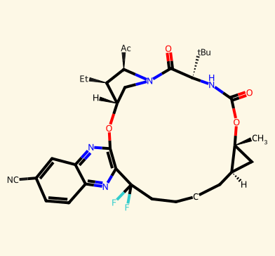 CC[C@@H]1[C@@H]2CN(C(=O)[C@H](C(C)(C)C)NC(=O)O[C@]3(C)C[C@H]3CCCCC(F)(F)c3nc4ccc(C#N)cc4nc3O2)[C@@H]1C(C)=O